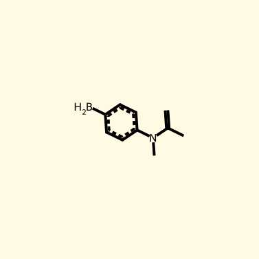 Bc1ccc(N(C)C(=C)C)cc1